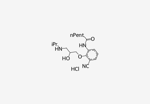 CCCCCC(=O)Nc1cccc(C#N)c1OCC(O)CNC(C)C.Cl